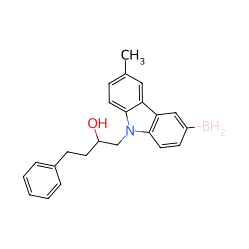 Bc1ccc2c(c1)c1cc(C)ccc1n2CC(O)CCc1ccccc1